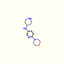 c1cc(N2CCOCC2)ncc1NC1CCNCC1